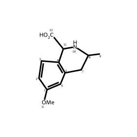 COc1ccc2c(c1)CC(C)NC2C(=O)O